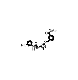 COC(=O)c1cccc(CSc2nnc(NC(=O)Nc3cccc(C#N)c3)s2)c1